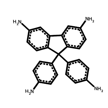 Nc1ccc(C2(c3ccc(N)cc3)c3ccc(N)cc3-c3cc(N)ccc32)cc1